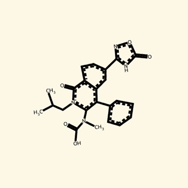 CC(C)Cn1c(N(C)C(=O)O)c(-c2ccccc2)c2cc(-c3noc(=O)[nH]3)ccc2c1=O